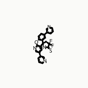 FC1(F)CC2(NC1=S)c1cc(-c3cccnc3)ccc1Oc1ncc(-c3cccnc3)cc12